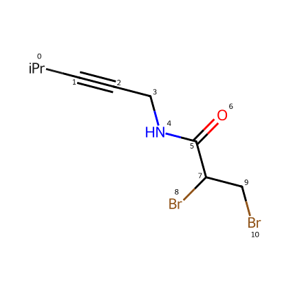 CC(C)C#CCNC(=O)C(Br)CBr